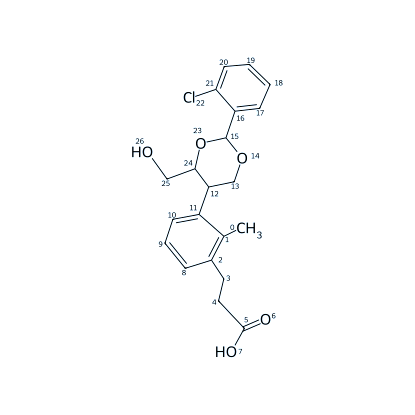 Cc1c(CCC(=O)O)cccc1C1COC(c2ccccc2Cl)OC1CO